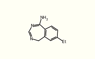 CCc1ccc2c(c1)CN=CN=C2N